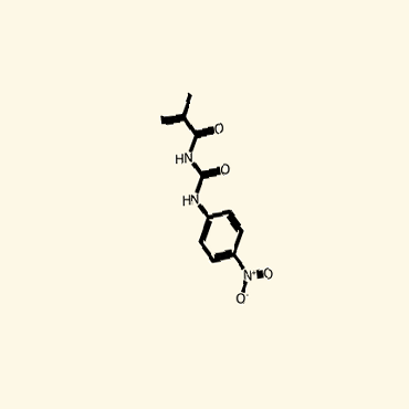 C=C(C)C(=O)NC(=O)Nc1ccc([N+](=O)[O-])cc1